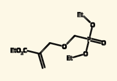 C=C(COCP(=O)(OCC)OCC)C(=O)OCC